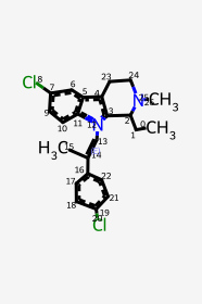 CCC1c2c(c3cc(Cl)ccc3n2/C=C(\C)c2ccc(Cl)cc2)CCN1C